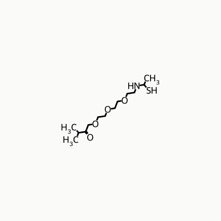 CC(S)NCCOCCOCCOCC(=O)C(C)C